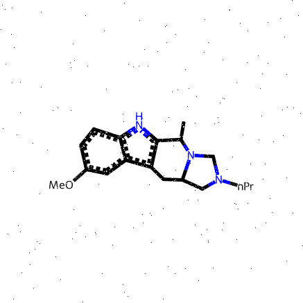 CCCN1CC2Cc3c([nH]c4ccc(OC)cc34)C(C)N2C1